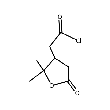 CC1(C)OC(=O)CC1CC(=O)Cl